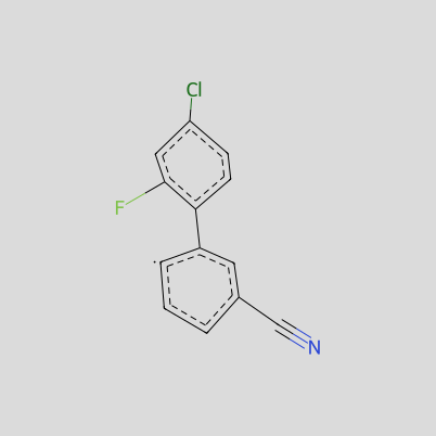 N#Cc1cc[c]c(-c2ccc(Cl)cc2F)c1